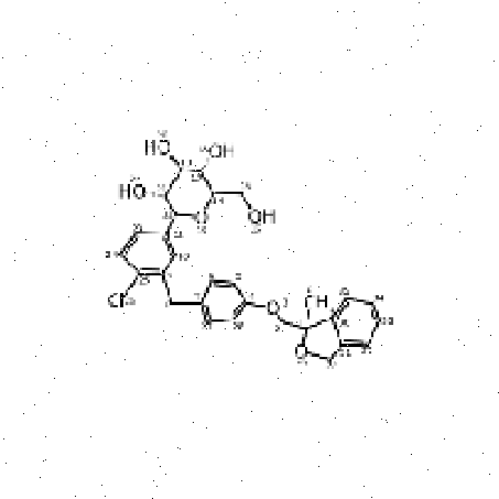 C[C@]1(COc2ccc(Cc3cc([C@@H]4O[C@H](CO)[C@@H](O)[C@H](O)[C@H]4O)ccc3Cl)cc2)OCc2ccccc21